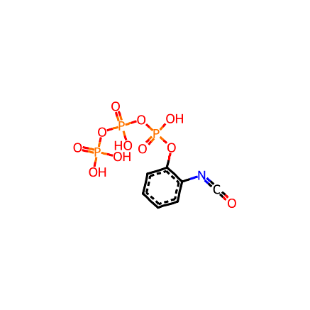 O=C=Nc1ccccc1OP(=O)(O)OP(=O)(O)OP(=O)(O)O